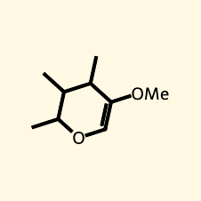 COC1=COC(C)C(C)C1C